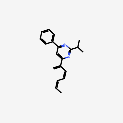 C=C(/C=C\C=C/C)c1cc(-c2ccccc2)nc(C(C)C)n1